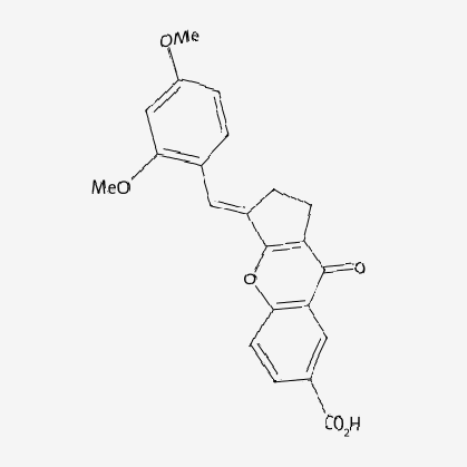 COc1ccc(C=C2CCc3c2oc2ccc(C(=O)O)cc2c3=O)c(OC)c1